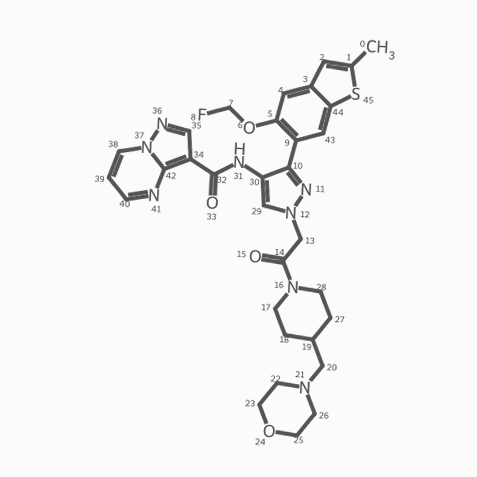 Cc1cc2cc(OCF)c(-c3nn(CC(=O)N4CCC(CN5CCOCC5)CC4)cc3NC(=O)c3cnn4cccnc34)cc2s1